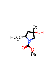 CCC1(O)C[C@H](C(=O)O)N(C(=O)OC(C)(C)C)C1